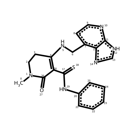 CN1CCC(NCc2ccnc3[nH]cnc23)=C(C(=S)Nc2ccccc2)C1=O